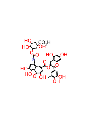 Cc1cc([C@H]2Oc3cc(O)cc(O)c3C[C@H]2OC(=O)c2cc(O)c(=O)c3c(O)c(O)cc(/C=C/C(=O)OC4CC(O)(C(=O)O)CC(O)C4O)c3c2)cc(O)c1O